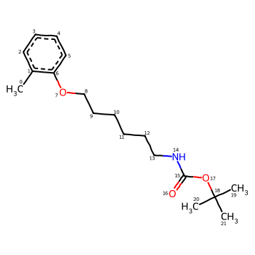 Cc1ccccc1OCCCCCCNC(=O)OC(C)(C)C